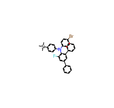 C[Si](C)(C)c1ccc(N(c2ccc(Br)cc2)c2c(F)cc(-c3ccccc3)cc2-c2ccccc2)cc1